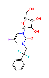 O=C1N(CC(F)(F)c2ccccc2)CC(I)=CN1[C@@H]1O[C@H](CO)[C@H](O)C1O